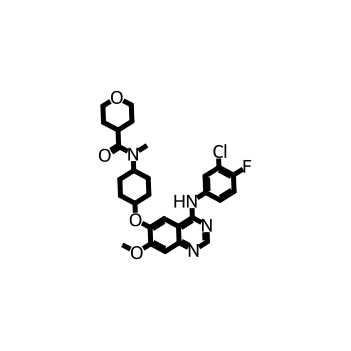 COc1cc2ncnc(Nc3ccc(F)c(Cl)c3)c2cc1OC1CCC(N(C)C(=O)C2CCOCC2)CC1